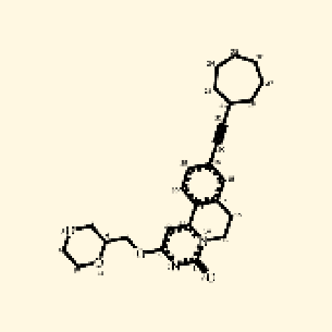 O=c1nc(OCC2COCCO2)cc2n1CCc1cc(C#CC3CCCCCC3)ccc1-2